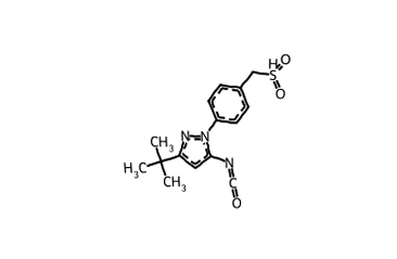 CC(C)(C)c1cc(N=C=O)n(-c2ccc(C[SH](=O)=O)cc2)n1